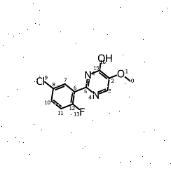 COc1cnc(-c2cc(Cl)ccc2F)nc1O